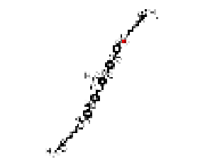 C=CC(=O)OCCCCCCOC(=O)Oc1ccc(C(=O)Oc2ccc(C(=O)Oc3ccc(OC(=O)c4ccc(OC(=O)c5ccc(OC(=O)OCCCCCCOC(=O)C=C)cc5)cc4)c(C)c3)cc2)cc1